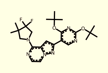 CC(C)(C)Oc1ncc(-c2cc3c(N4CC(C)(C)C(F)(F)C4)nccn3n2)c(OC(C)(C)C)n1